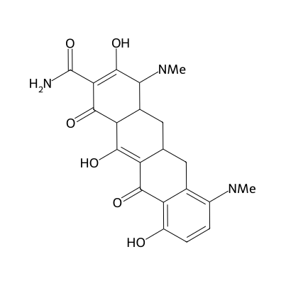 CNc1ccc(O)c2c1CC1CC3C(NC)C(O)=C(C(N)=O)C(=O)C3C(O)=C1C2=O